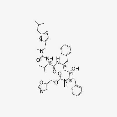 CC(C)Cc1nc(CN(C)C(=O)N[C@H](C(=O)N[C@@H](Cc2ccccc2)C[C@H](O)[C@H](Cc2ccccc2)NC(=O)OCc2cnco2)C(C)C)cs1